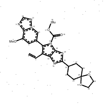 C=Cc1c(-c2cc(OC)c3ncnn3c2)n(C(=O)OC(C)(C)C)c2sc(C3CCC4(CC3)OCCO4)nc12